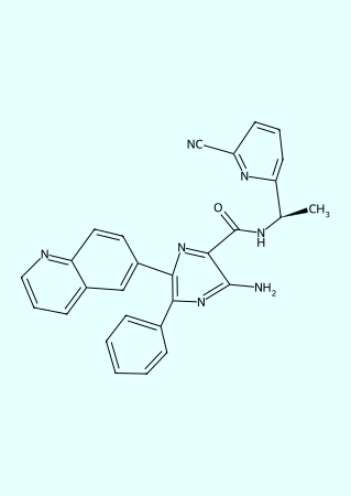 C[C@@H](NC(=O)c1nc(-c2ccc3ncccc3c2)c(-c2ccccc2)nc1N)c1cccc(C#N)n1